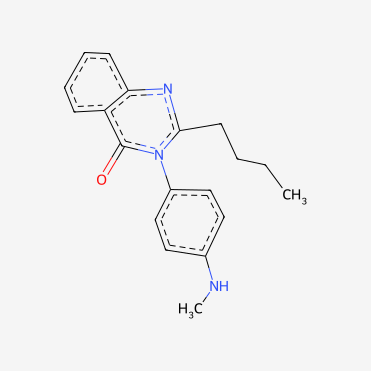 CCCCc1nc2ccccc2c(=O)n1-c1ccc(NC)cc1